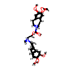 COc1cc2c(cc1OC)CCN(C(=O)OCCN(C)CC1Cc3cc(OC)c(OC)cc31)CC2